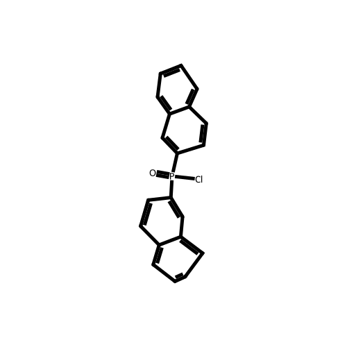 O=P(Cl)(c1ccc2ccccc2c1)c1ccc2ccccc2c1